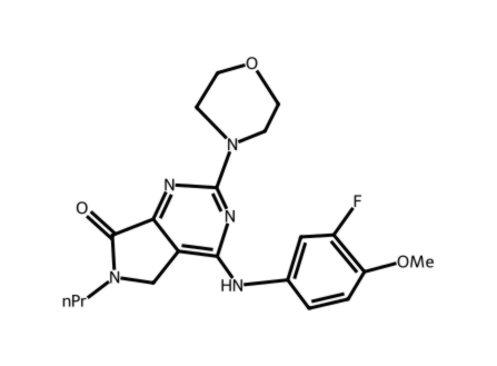 CCCN1Cc2c(Nc3ccc(OC)c(F)c3)nc(N3CCOCC3)nc2C1=O